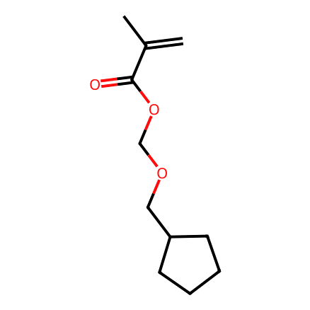 C=C(C)C(=O)OCOCC1CCCC1